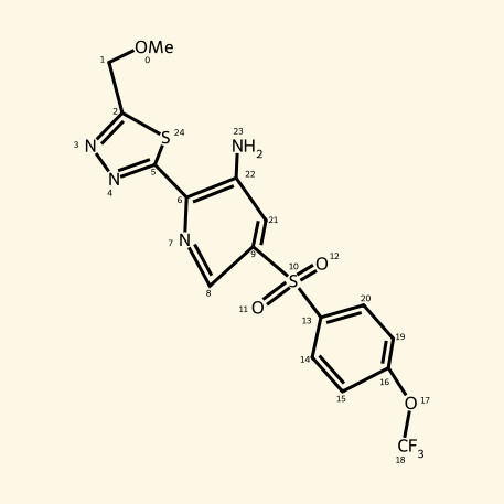 COCc1nnc(-c2ncc(S(=O)(=O)c3ccc(OC(F)(F)F)cc3)cc2N)s1